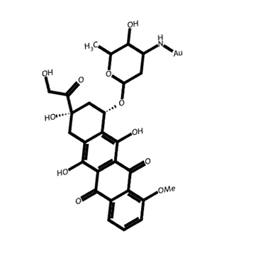 COc1cccc2c1C(=O)c1c(O)c3c(c(O)c1C2=O)C[C@@](O)(C(=O)CO)C[C@@H]3OC1CC([NH][Au])C(O)C(C)O1